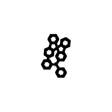 Cc1ccc2c(c1)C1(c3ccccc3-2)c2ccccc2-c2ccc(N(c3ccccc3)c3ccccc3)cc21